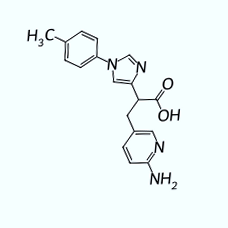 Cc1ccc(-n2cnc(C(Cc3ccc(N)nc3)C(=O)O)c2)cc1